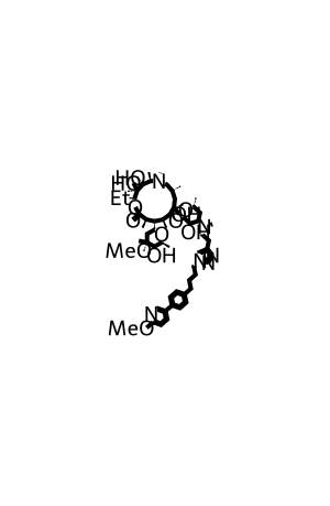 CC[C@H]1OC(=O)[C@H](C)[C@@H](C2C[C@@](C)(OC)[C@@H](O)[C@H](C)O2)[C@H](C)[C@@H](O[C@@H]2O[C@H](C)C[C@H](N(C)CCc3cn(CCCCc4ccc(-c5ccc(OC)nc5)cc4)nn3)[C@H]2O)[C@](C)(O)C[C@@H](C)CN(C)[C@H](C)[C@@H](O)[C@]1(C)O